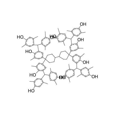 Cc1cc(C(c2cc(C)c(O)cc2C)c2cc(C3(c4cc(C)c(O)c(C(c5cc(C)c(O)cc5C)c5cc(C)c(O)cc5C)c4)CCC(C4CCC(c5cc(C)c(O)c(C(c6cc(C)c(O)cc6C)c6cc(C)c(O)cc6C)c5)(c5cc(C)c(O)c(C(c6cc(C)c(O)cc6C)c6cc(C)c(O)cc6C)c5)CC4)CC3)cc(C)c2O)c(C)cc1O